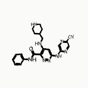 N#Cc1cnc(Nc2cc(NCC3CCNCC3)c(C(=O)Nc3ccccc3)nn2)cn1